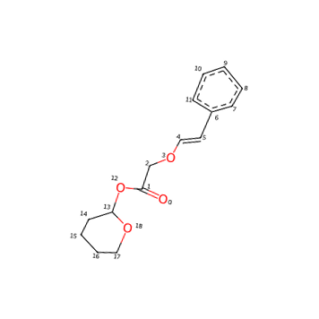 O=C(COC=Cc1ccccc1)OC1CCCCO1